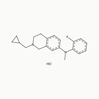 CN(c1ccc2c(c1)CN(CC1CC1)CC2)c1ccccc1F.Cl